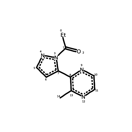 [CH2]CC(=O)n1nccc1-c1nccnc1C